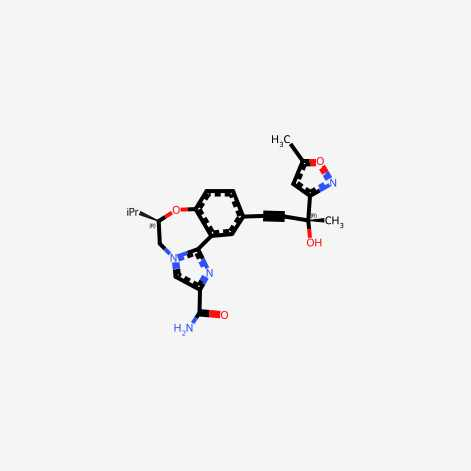 Cc1cc([C@](C)(O)C#Cc2ccc3c(c2)-c2nc(C(N)=O)cn2C[C@@H](C(C)C)O3)no1